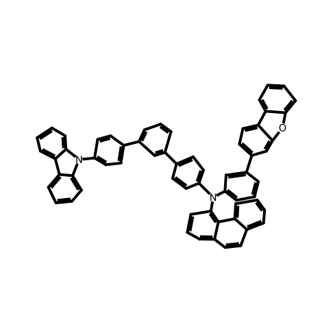 c1cc(-c2ccc(N(c3cccc(-c4ccc5c(c4)oc4ccccc45)c3)c3cccc4ccc5ccccc5c34)cc2)cc(-c2ccc(-n3c4ccccc4c4ccccc43)cc2)c1